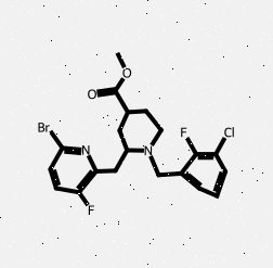 COC(=O)C1CCN(Cc2cccc(Cl)c2F)C(Cc2nc(Br)ccc2F)C1